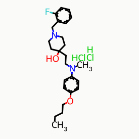 CCCCOc1ccc(N(C)CCC2(O)CCN(Cc3ccccc3F)CC2)cc1.Cl.Cl